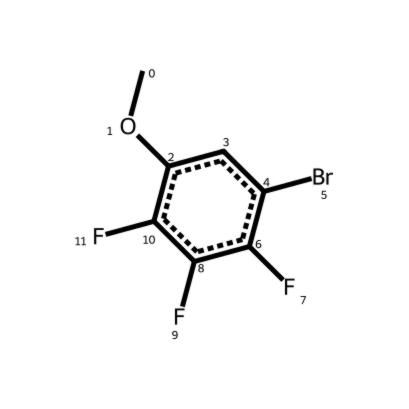 COc1cc(Br)c(F)c(F)c1F